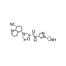 C[C@@H]1CN(c2ccc(C#N)c3ncccc23)C[C@H](C(=O)Nc2cnn(C3CNC3)c2)O1